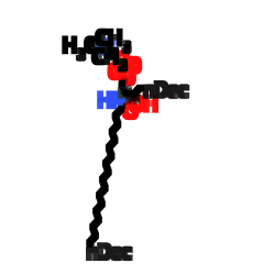 CCCCCCCCCCCCCCCCCCCCCCCCCCCC(=O)N[C@@H](COP(=O)([O-])OCC[N+](C)(C)C)[C@H](O)CCCCCCCCCCC